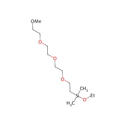 CCO[Si](C)(C)CCOCCOCCOCCOC